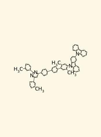 Cc1cccc(-c2cc(-c3ccc(-c4ccc(-c5cc(C)c(-n6c7ccccc7c7cc(-n8c9ccccc9c9ccccc98)ccc76)cc5C)cc4)cc3)nc(-c3cccc(C)c3)n2)c1